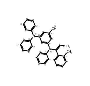 C/C=C(\c1ccccc1C)N(c1ccccc1)c1cc(O)cc(N(c2ccccc2)c2ccccc2)c1